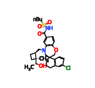 CCCCS(=O)(=O)NC(=O)c1ccc2c(c1)N(C[C@@H]1CC[C@]1(C)[C@@H](C)O)C[C@@]1(CCCc3cc(Cl)ccc31)CO2